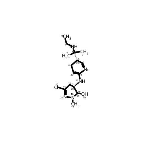 CCNC(C)(C)[C@@H]1C=NC(N[C@@H]2CC(Cl)=NN(C)[C@@H]2O)=CC1